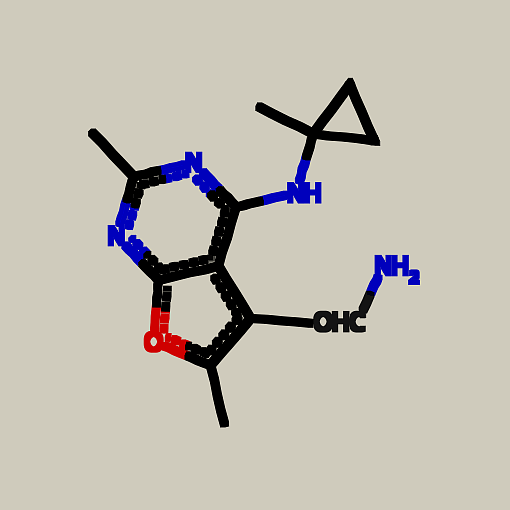 Cc1nc(NC2(C)CC2)c2c(C)c(C)oc2n1.NC=O